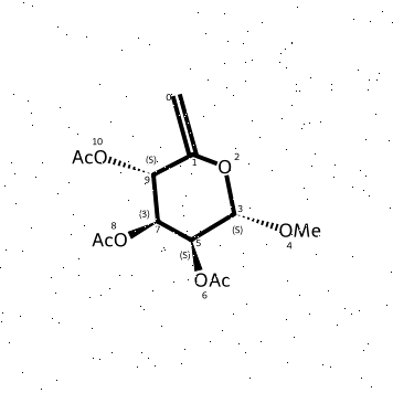 C=C1O[C@H](OC)[C@@H](OC(C)=O)[C@@H](OC(C)=O)[C@@H]1OC(C)=O